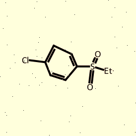 C[CH]S(=O)(=O)c1ccc(Cl)cc1